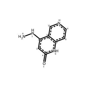 NNc1cc(=O)[nH]c2ccncc12